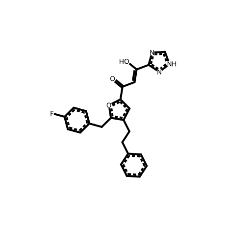 O=C(C=C(O)c1nc[nH]n1)c1cc(CCc2ccccc2)c(Cc2ccc(F)cc2)o1